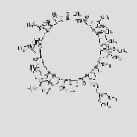 C/C=C/C[C@@H](C)[C@@H](O)[C@H]1C(=O)N[C@@H](CC)C(=O)N(C)[C@H](COCCN(CC)CC)C(=O)N(C)[C@@H](CC(C)(C)OC)C(=O)N[C@@H](C(C)C)C(=O)N(C)[C@@H](CC(C)C)C(=O)N[C@@H](C)C(=O)N[C@H](C)C(=O)N(C)[C@@H](CC(C)C)C(=O)N(C)[C@@H](CC(C)C)C(=O)N(C)[C@@H](C(C)C)C(=O)N1C